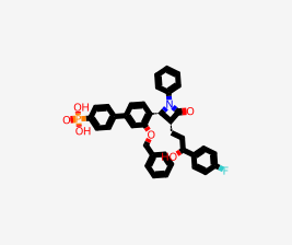 O=C1[C@H](CCC(O)c2ccc(F)cc2)[C@H](c2ccc(-c3ccc(P(=O)(O)O)cc3)cc2OCc2ccccc2)N1c1ccccc1